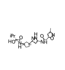 Cc1cc(CC(=O)Nc2cc([C@H]3CC[C@@H](NC(=O)[C@H](O)C(C)C)C3)n[nH]2)on1